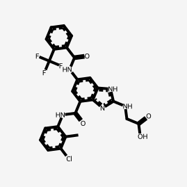 Cc1c(Cl)cccc1NC(=O)c1cc(NC(=O)c2ccccc2C(F)(F)F)cc2[nH]c(NCC(=O)O)nc12